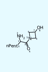 CCCCCC(N)C(=O)N1CC(O)C1